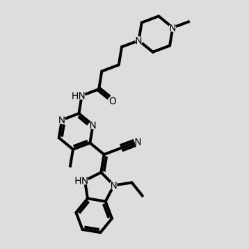 CCN1/C(=C(\C#N)c2nc(NC(=O)CCCN3CCN(C)CC3)ncc2C)Nc2ccccc21